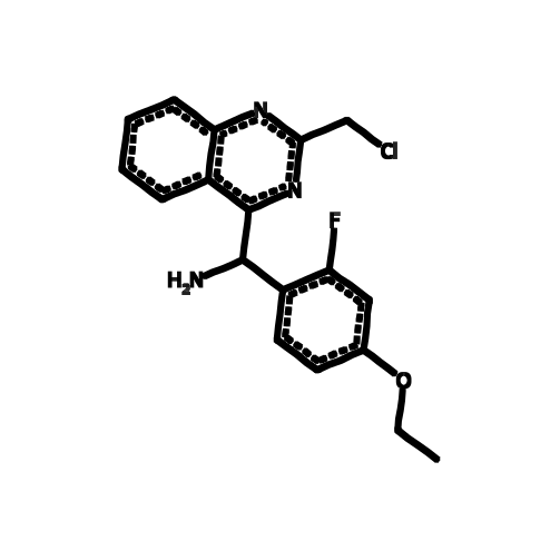 CCOc1ccc(C(N)c2nc(CCl)nc3ccccc23)c(F)c1